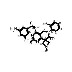 Cc1nc(N[C@H](C)c2cc(N)cc(C(F)(F)F)c2)c2c(n1)C1(CN(C)C1)C(=O)N(c1ccccc1F)C2